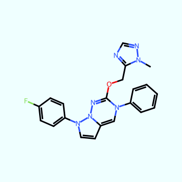 Cn1ncnc1COC1=NN2C(=CN1c1ccccc1)C=CN2c1ccc(F)cc1